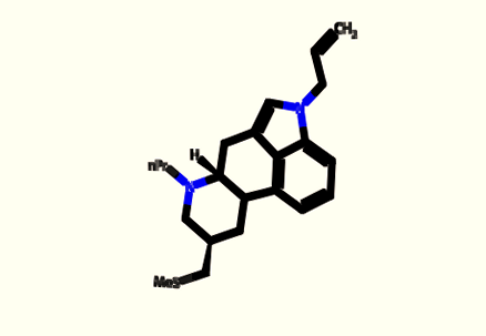 C=CCn1cc2c3c(cccc31)C1C[C@@H](CSC)CN(CCC)[C@@H]1C2